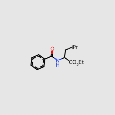 CCOC(=O)C(CC(C)C)NC(=O)c1ccccc1